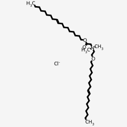 CCCCCCCCC=CCCCCCCCCOCC[N+](C)(C)CC(=O)OCCCCCCCCC=CCCCCCCCC.[Cl-]